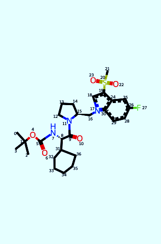 CC(C)(C)OC(=O)N[C@H](C(=O)N1CCC[C@H]1Cn1cc(S(C)(=O)=O)c2cc(F)ccc21)C1CCCCC1